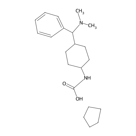 C1CCCC1.CN(C)C(c1ccccc1)C1CCC(NC(=O)O)CC1